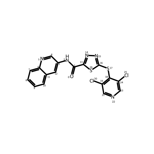 O=C(Nc1cnc2ccccc2c1)c1nnc(Sc2c(Cl)cncc2Cl)s1